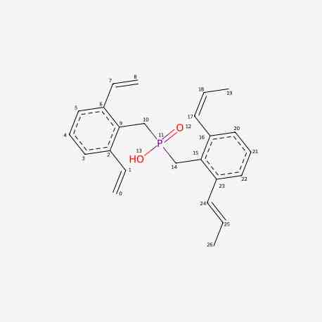 C=Cc1cccc(C=C)c1CP(=O)(O)Cc1c(/C=C\C)cccc1/C=C/C